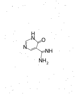 N=C(N)c1cnc[nH]c1=O